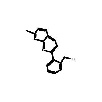 Cc1ccc2ccc(-c3ccccc3CN)nc2c1